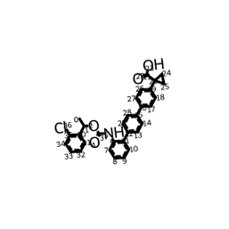 CC(OC(=O)Nc1ccccc1-c1ccc(-c2ccc(C3(C(=O)O)CC3)cc2)cc1)c1ccccc1Cl